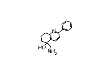 NCC1(O)CCCc2nc(-c3ccccc3)ccc21